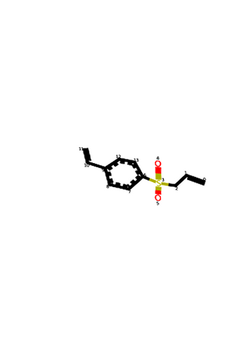 C=CCS(=O)(=O)c1ccc(C=C)cc1